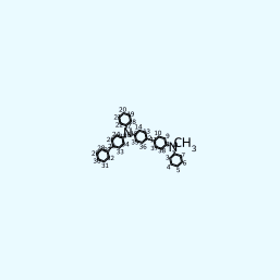 CN(c1ccccc1)c1ccc(-c2ccc(N(c3ccccc3)c3ccc(-c4ccccc4)cc3)cc2)cc1